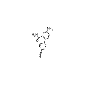 N#Cc1ccc(-c2ccc(N)cc2C(N)=O)cc1